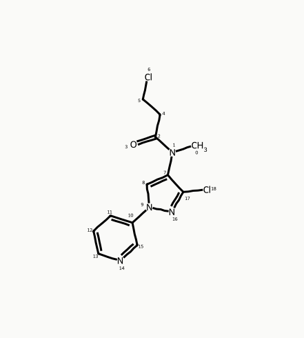 CN(C(=O)CCCl)c1cn(-c2cccnc2)nc1Cl